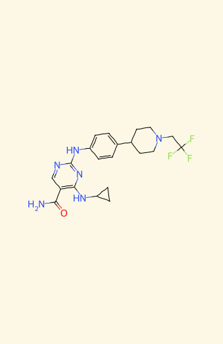 NC(=O)c1cnc(Nc2ccc(C3CCN(CC(F)(F)F)CC3)cc2)nc1NC1CC1